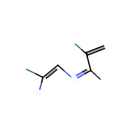 C=C(Cl)/C(=N\C=C(/N)Cl)C(=O)O